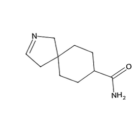 NC(=O)C1CCC2(CC=NC2)CC1